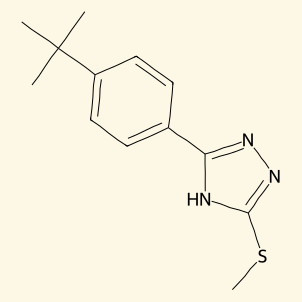 CSc1nnc(-c2ccc(C(C)(C)C)cc2)[nH]1